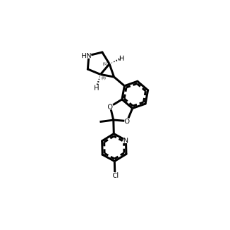 CC1(c2ccc(Cl)cn2)Oc2cccc(C3[C@H]4CNC[C@@H]34)c2O1